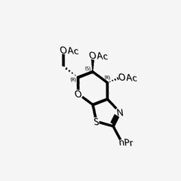 CCCC1=NC2C(O[C@H](COC(C)=O)[C@@H](OC(C)=O)[C@@H]2OC(C)=O)S1